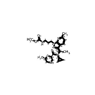 COC(=O)NCCCn1nc([C@@H](C)N(C(=O)[C@H]2CNC[C@@H](C)O2)C2CC2)c2ccc(C)nc21